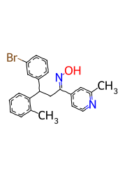 Cc1cc(C(CC(c2cccc(Br)c2)c2ccccc2C)=NO)ccn1